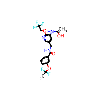 C[C@@H](O)Nc1cc(CNC(=O)c2cccc(OC(C)(F)F)c2)cnc1OCC(F)(F)F